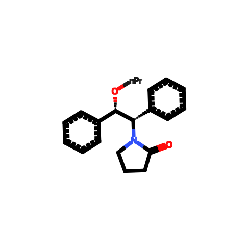 CCCO[C@@H](c1ccccc1)[C@H](c1ccccc1)N1CCCC1=O